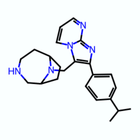 CC(C)c1ccc(-c2nc3ncccn3c2CN2C3CCNCC2CC3)cc1